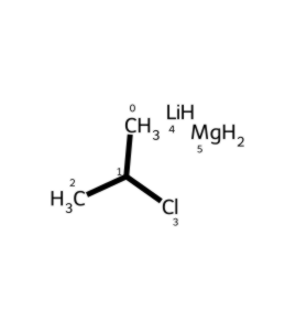 CC(C)Cl.[LiH].[MgH2]